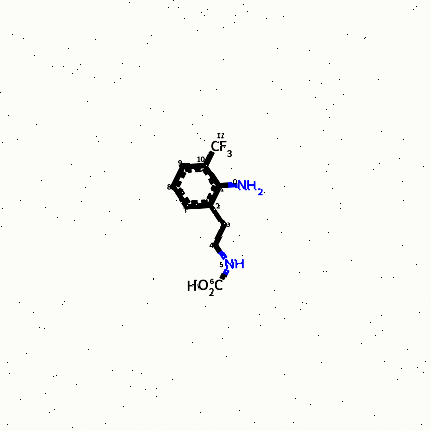 Nc1c(CCNC(=O)O)cccc1C(F)(F)F